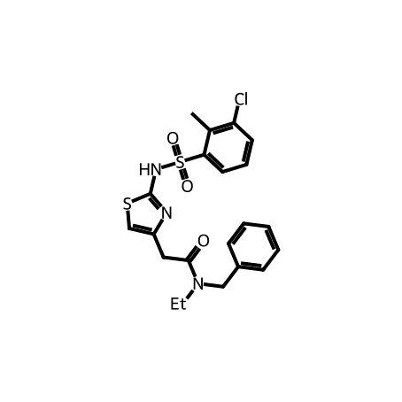 CCN(Cc1ccccc1)C(=O)Cc1csc(NS(=O)(=O)c2cccc(Cl)c2C)n1